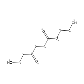 O=C(CCO)CCC(=O)OCCO